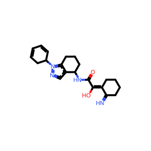 N=C1CCCC/C1=C(/O)C(=O)NC1CCCc2c1cnn2C1C=CC=CC1